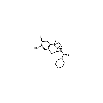 COc1cc2c(cc1O)CC1N(C(=O)N3CCCCC3)CCC2(C)C1(C)C